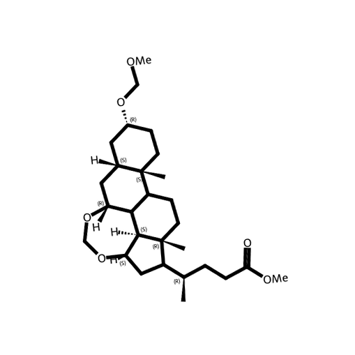 COCO[C@@H]1CC[C@]2(C)C3CC[C@]4(C)C([C@H](C)CCC(=O)OC)C[C@@H]5OCO[C@H](C[C@@H]2C1)C3[C@H]54